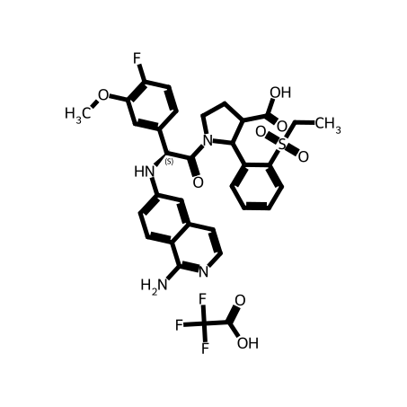 CCS(=O)(=O)c1ccccc1C1C(C(=O)O)CCN1C(=O)[C@@H](Nc1ccc2c(N)nccc2c1)c1ccc(F)c(OC)c1.O=C(O)C(F)(F)F